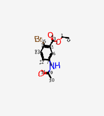 CCOC(=O)c1cc(NC(C)=O)ccc1Br